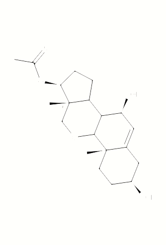 CC(=O)O[C@H]1CCC2C3C(OC[C@@]21C)[C@@]1(C)CC[C@H](O)CC1=C[C@@H]3O